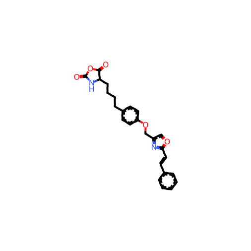 O=C1NC(CCCCc2ccc(OCc3coc(C=Cc4ccccc4)n3)cc2)C(=O)O1